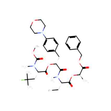 CC(C)C[C@@H](C(=O)O[C@H](C)C(=O)OCc1ccccc1)N(C)C(=O)[C@@H](Cc1ccc(N2CCOCC2)cc1)OC(=O)[C@H](CC(C)(C)F)N(C)C(=O)OC(C)(C)C